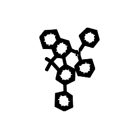 CC1(C)c2cc(-c3ccccc3)ccc2-c2c(N(c3ccccc3)c3ccccc3)cc3ccccc3c21